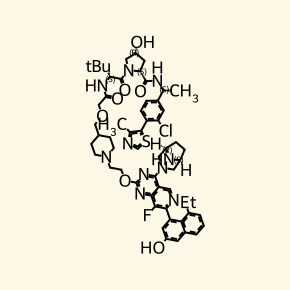 CCc1cccc2cc(O)cc(-c3ncc4c(N5C[C@H]6CC[C@@H](C5)N6)nc(OCCN5CCC(COCC(=O)N[C@H](C(=O)N6C[C@H](O)C[C@H]6C(=O)N[C@@H](C)c6ccc(-c7scnc7C)c(Cl)c6)C(C)(C)C)CC5)nc4c3F)c12